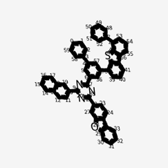 c1ccc(-c2cc(-c3nc(-c4ccc5ccccc5c4)nc(-c4ccc5c(c4)oc4ccccc45)n3)cc(-c3cccc4c3sc3c(-c5ccccc5)cccc34)c2)cc1